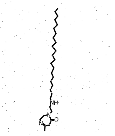 CCCCCCCCCCCCCCCCCCCCCCNCCN1CCN=C(C)CC1=O